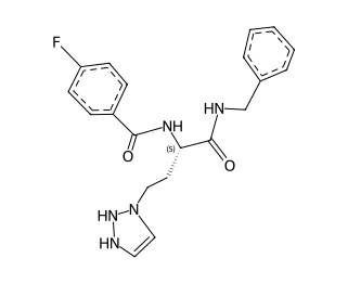 O=C(N[C@@H](CCN1C=CNN1)C(=O)NCc1ccccc1)c1ccc(F)cc1